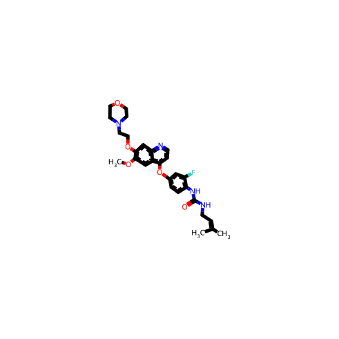 COc1cc2c(Oc3ccc(NC(=O)NCC=C(C)C)c(F)c3)ccnc2cc1OCCN1CCOCC1